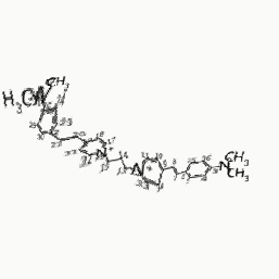 CN(C)c1ccc(/C=C/c2cc[n+](CCC[n+]3ccc(/C=C/c4ccc(N(C)C)cc4)cc3)cc2)cc1